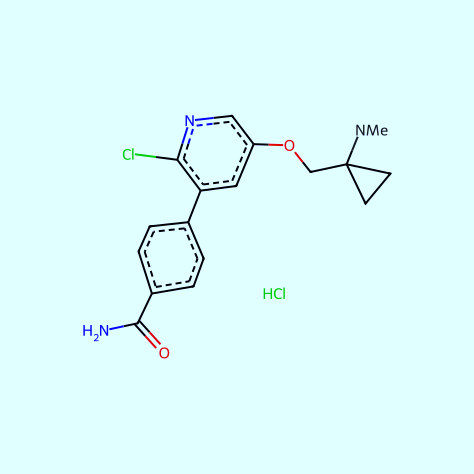 CNC1(COc2cnc(Cl)c(-c3ccc(C(N)=O)cc3)c2)CC1.Cl